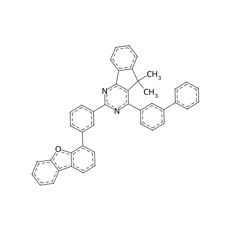 CC1(C)c2ccccc2-c2nc(-c3cccc(-c4cccc5c4oc4ccccc45)c3)nc(-c3cccc(-c4ccccc4)c3)c21